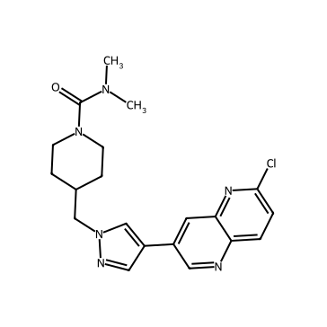 CN(C)C(=O)N1CCC(Cn2cc(-c3cnc4ccc(Cl)nc4c3)cn2)CC1